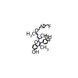 C=C/C(=C\C=C(/C)OCCN1CC(CF)C1)C1Oc2ccc(O)cc2C(C)=C1c1ccc(F)c(O)c1